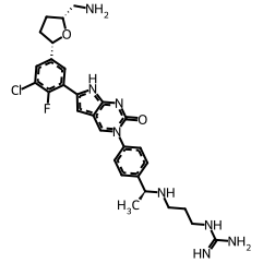 C[C@H](NCCCNC(=N)N)c1ccc(-n2cc3cc(-c4cc([C@@H]5CC[C@H](CN)O5)cc(Cl)c4F)[nH]c3nc2=O)cc1